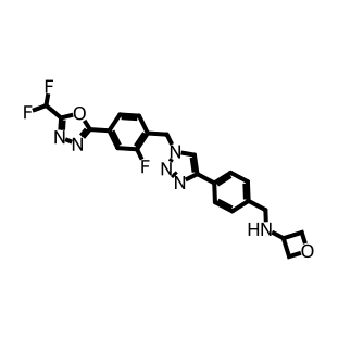 Fc1cc(-c2nnc(C(F)F)o2)ccc1Cn1cc(-c2ccc(CNC3COC3)cc2)nn1